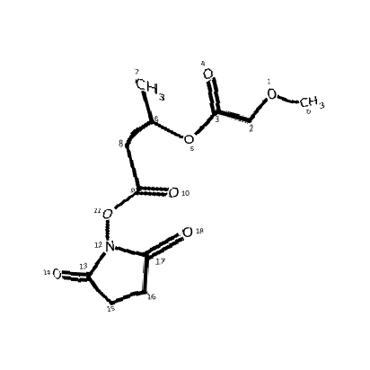 COCC(=O)OC(C)CC(=O)ON1C(=O)CCC1=O